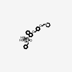 O=C(Nc1ccc(OCc2ccc(OCCN3CCCCC3)cc2)c2ccccc12)N(Cc1ccccc1)OP(=O)(O)O